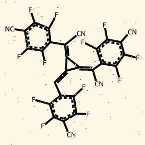 N#C/C(=C1/C(=Cc2c(F)c(F)c(C#N)c(F)c2F)/C1=C(\C#N)c1c(F)c(F)c(C#N)c(F)c1F)c1c(F)c(F)c(C#N)c(F)c1F